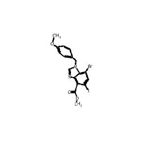 COC(=O)c1c(I)cc(Br)c2c1ncn2Cc1ccc(OC)cc1